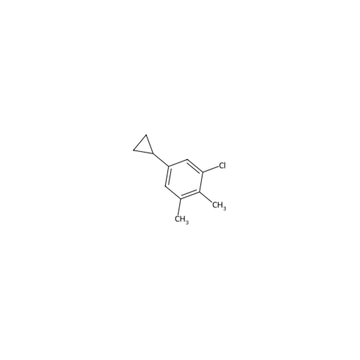 Cc1cc(C2CC2)cc(Cl)c1C